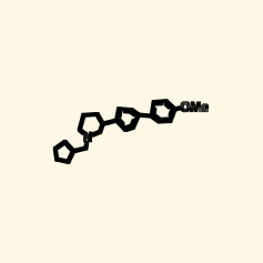 COc1ccc(-c2ccc(C3CCCN(CC4CCCC4)C3)cc2)cc1